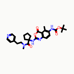 Cc1c(NC(=O)OC(C)(C)C)ccc2nc(NC3(C(=O)N(C)CCc4ccncc4)CCCC3)oc(=O)c12